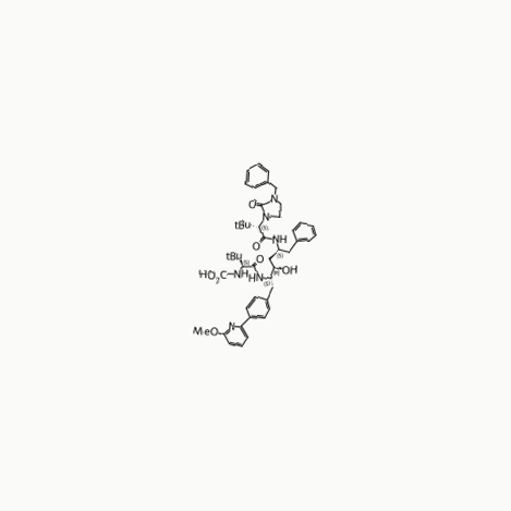 COc1cccc(-c2ccc(C[C@H](NC(=O)[C@@H](NC(=O)O)C(C)(C)C)[C@H](O)C[C@H](Cc3ccccc3)NC(=O)[C@@H](N3CCN(Cc4ccccc4)C3=O)C(C)(C)C)cc2)n1